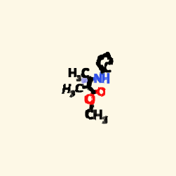 CCOC(=O)/C(C)=C(/C)Nc1ccccc1